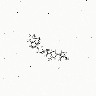 CCn1ncn(-c2ccc(C(=O)N[C@@H]3CCN(c4ncc(Cl)c5c(N)noc45)C3)c(Cl)c2)c1=O